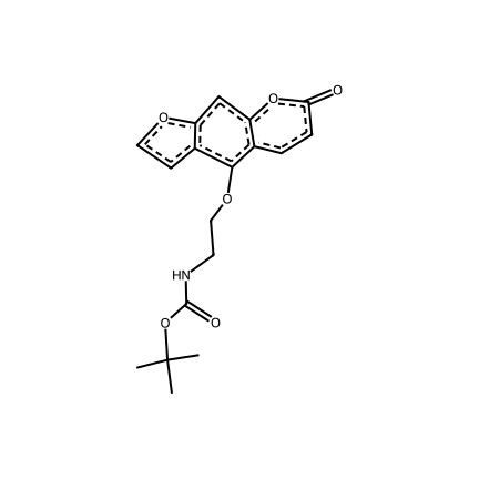 CC(C)(C)OC(=O)NCCOc1c2ccoc2cc2oc(=O)ccc12